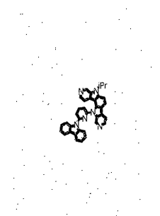 CC(C)n1c2cnccc2c2c3c(ccc21)c1ccncc1n3-c1cccc(-n2c3ccccc3c3ccccc32)n1